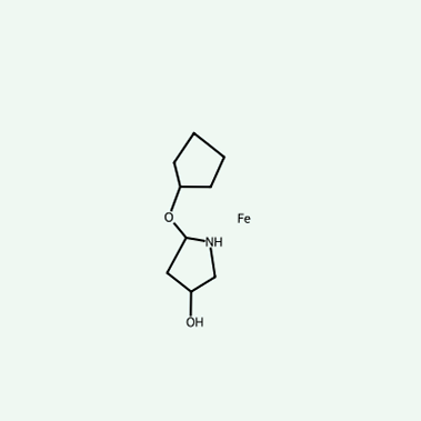 OC1CNC(OC2CCCC2)C1.[Fe]